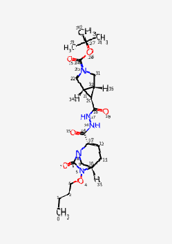 CCCCON1C(=O)N2C[C@@H]1CC[C@H]2C(=O)NNC(=O)[C@H]1[C@@H]2CN(C(=O)OC(C)(C)C)C[C@@H]21